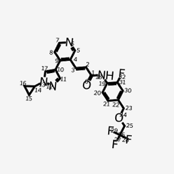 O=C(/C=C/c1cnccc1-c1cnn(C2CC2)c1)Nc1ccc(COCC(F)(F)F)cc1F